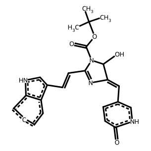 CC(C)(C)OC(=O)N1C(/C=C/c2c[nH]c3ccccc23)=NC(=C\c2ccc(=O)[nH]c2)/C1O